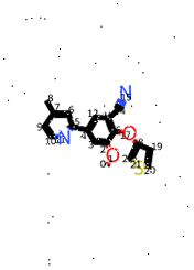 COc1cc(-c2cc(C)ccn2)cc(C#N)c1Oc1ccsc1